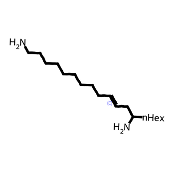 CCCCCCC(N)C/C=C/CCCCCCCCCN